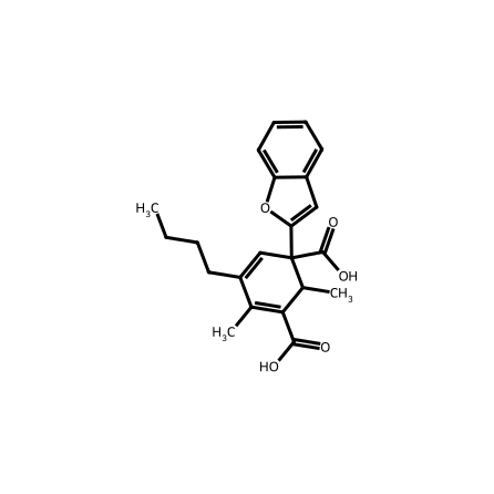 CCCCC1=CC(C(=O)O)(c2cc3ccccc3o2)C(C)C(C(=O)O)=C1C